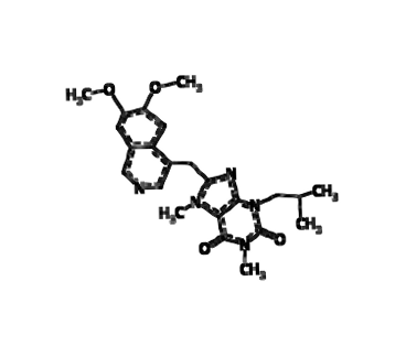 COc1cc2cncc(Cc3nc4c(c(=O)n(C)c(=O)n4CC(C)C)n3C)c2cc1OC